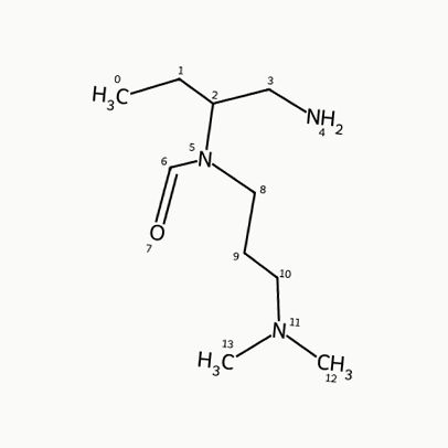 CCC(CN)N(C=O)CCCN(C)C